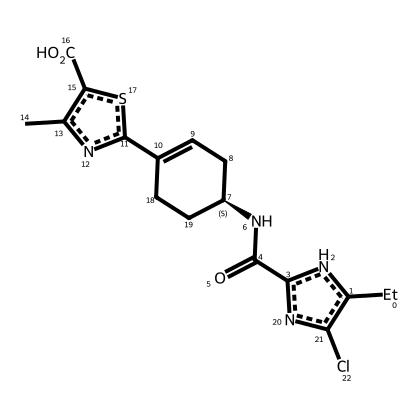 CCc1[nH]c(C(=O)N[C@@H]2CC=C(c3nc(C)c(C(=O)O)s3)CC2)nc1Cl